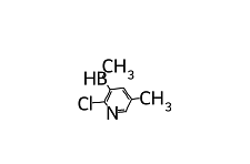 CBc1cc(C)cnc1Cl